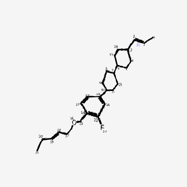 C/C=C/C1CCC(C2CCC(c3ccc(COCC=CCC)c(F)c3)CC2)CC1